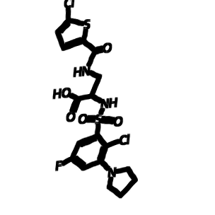 O=C(NCC(NS(=O)(=O)c1cc(F)cc(N2CCCC2)c1Cl)C(=O)O)c1ccc(Cl)s1